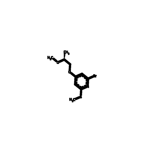 CO[C@H](C)COc1cc(Br)nc(SC)c1